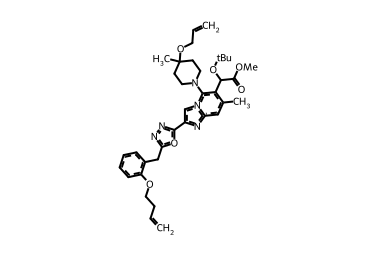 C=CCCOc1ccccc1Cc1nnc(-c2cn3c(N4CCC(C)(OCC=C)CC4)c(C(OC(C)(C)C)C(=O)OC)c(C)cc3n2)o1